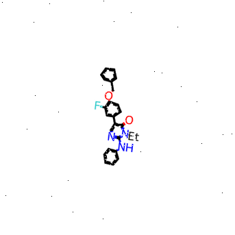 CCn1c(Nc2ccccc2)ncc(-c2ccc(OCc3ccccc3)c(F)c2)c1=O